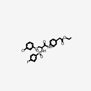 CCOC(=O)Cc1ccc(NC(=O)C(COc2cccc(Cl)c2)NS(=O)(=O)c2ccc(F)cc2)cc1